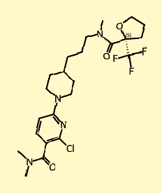 CN(C)C(=O)c1ccc(N2CCC(CCCN(C)C(=O)[C@]3(C(F)(F)F)CCCO3)CC2)nc1Cl